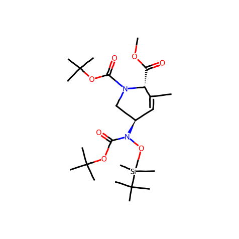 COC(=O)[C@@H]1C(C)=C[C@@H](N(O[Si](C)(C)C(C)(C)C)C(=O)OC(C)(C)C)CN1C(=O)OC(C)(C)C